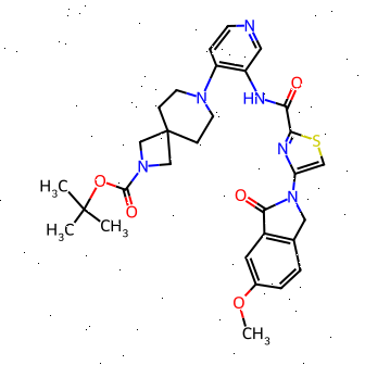 COc1ccc2c(c1)C(=O)N(c1csc(C(=O)Nc3cnccc3N3CCC4(CC3)CN(C(=O)OC(C)(C)C)C4)n1)C2